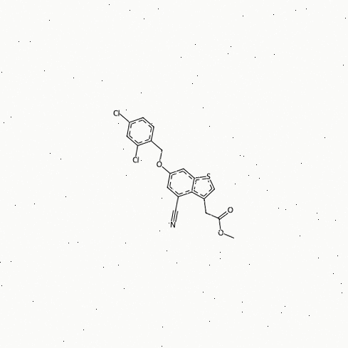 COC(=O)Cc1csc2cc(OCc3ccc(Cl)cc3Cl)cc(C#N)c12